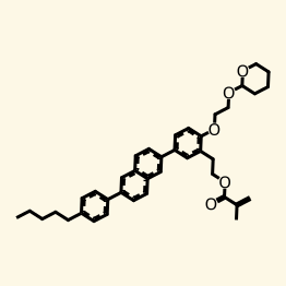 C=C(C)C(=O)OCCc1cc(-c2ccc3cc(-c4ccc(CCCCC)cc4)ccc3c2)ccc1OCCOC1CCCCO1